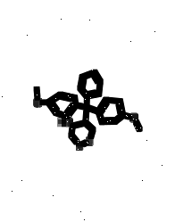 COc1ccc(C(c2ccccc2)(c2ccc(OC)cc2)C2CSSCC2O)cc1